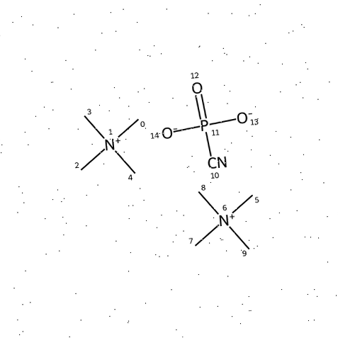 C[N+](C)(C)C.C[N+](C)(C)C.N#CP(=O)([O-])[O-]